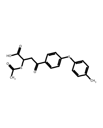 CC(=O)SC(CC(=O)c1ccc(Sc2ccc(C)cc2)cc1)C(=O)O